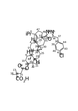 CC(C)C1=C2[C@H]3CC[C@@H]4[C@@]5(C)CC[C@H](OC(=O)CC(C)(C)C(=O)O)C(C)(C)[C@@H]5CC[C@@]4(C)[C@]3(C)CC[C@@]2(c2nnc(Cc3ccc(Cl)cc3)o2)CC1